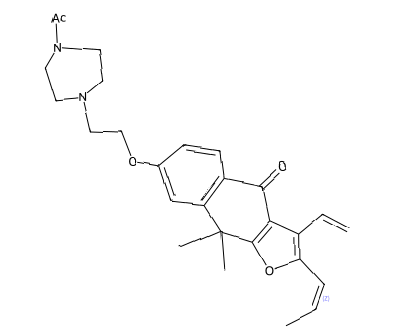 C=Cc1c(/C=C\C)oc2c1C(=O)c1ccc(OCCN3CCN(C(C)=O)CC3)cc1C2(C)C